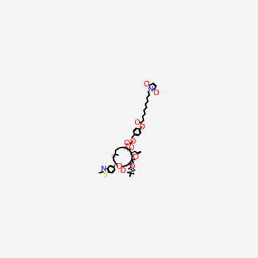 C=CC[C@H]1C(=O)C(C)(C)[C@@H](O[Si](C)(C)C(C)(C)C)CC(=O)O[C@H](c2ccc3sc(C)nc3c2)C/C=C(\C)CCC[C@H](C)[C@@H]1OC(=O)OCc1ccc(OC(=O)CCCCCCCCCCN2C(=O)C=CC2=O)cc1